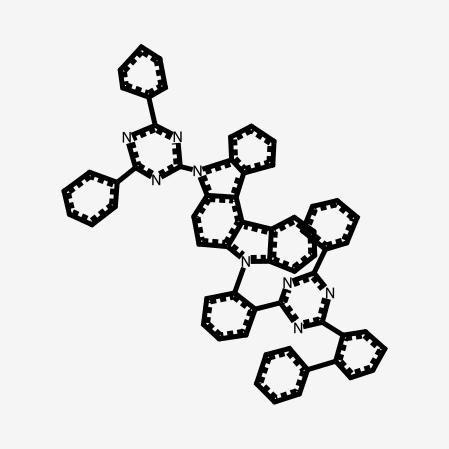 c1ccc(-c2nc(-c3ccccc3-c3ccccc3)nc(-c3ccccc3-n3c4ccccc4c4c5c6ccccc6n(-c6nc(-c7ccccc7)nc(-c7ccccc7)n6)c5ccc43)n2)cc1